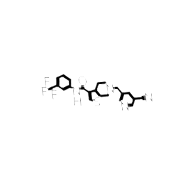 N#Cc1cncc(CN2CCc3c(C(=O)Nc4cccc(C(F)(F)F)c4)csc3C2)c1